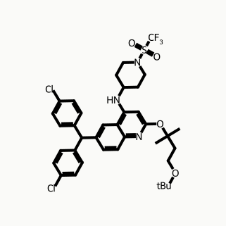 CC(C)(C)OCCC(C)(C)Oc1cc(NC2CCN(S(=O)(=O)C(F)(F)F)CC2)c2cc(C(c3ccc(Cl)cc3)c3ccc(Cl)cc3)ccc2n1